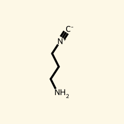 [C-]#[N+]CCCN